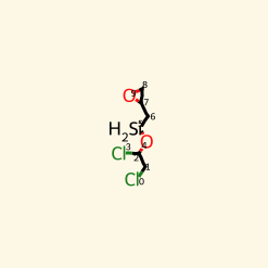 ClCC(Cl)O[SiH2]CC1CO1